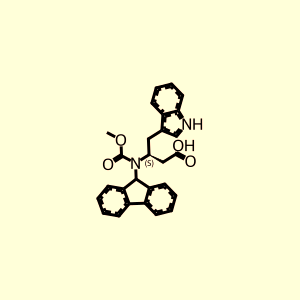 COC(=O)N(C1c2ccccc2-c2ccccc21)[C@H](CC(=O)O)Cc1c[nH]c2ccccc12